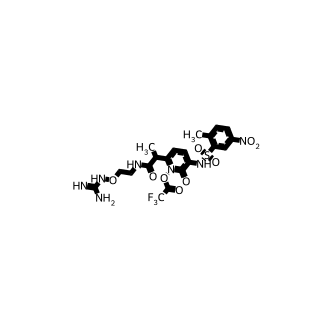 Cc1ccc([N+](=O)[O-])cc1S(=O)(=O)Nc1ccc(C(C)C(=O)NCCONC(=N)N)n(OC(=O)C(F)(F)F)c1=O